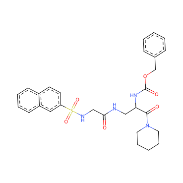 O=C(CNS(=O)(=O)c1ccc2ccccc2c1)NCC(NC(=O)OCc1ccccc1)C(=O)N1CCCCC1